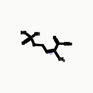 COC(=O)/C(C)=C\COP(=O)(O)O